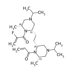 C=CC(=O)N1[C@H](CC[C@H]2CN(C(C)C)C[C@@H](C)N2C(=O)C(=C)F)CN(C(C)C)C[C@@H]1C